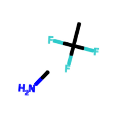 CC(F)(F)F.CN